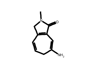 CN1CC2=C(C=C(N)CC=C2)C1=O